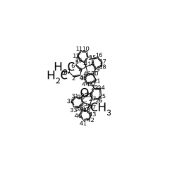 C=C/C=C\C(=C/C)C1(c2ccccc2)c2ccccc2-c2cc(-c3cccc4c3Oc3ccccc3C4(C)c3ccccc3)ccc21